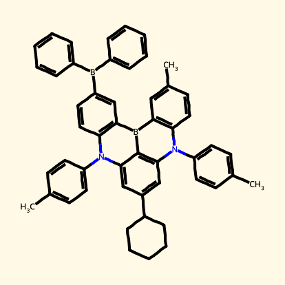 Cc1ccc(N2c3ccc(C)cc3B3c4cc(B(c5ccccc5)c5ccccc5)ccc4N(c4ccc(C)cc4)c4cc(C5CCCCC5)cc2c43)cc1